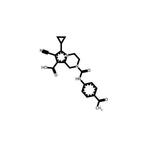 CC(=O)c1ccc(NC(=O)N2CCn3c(c(C(=O)O)c(C#N)c3C3CC3)C2)cc1